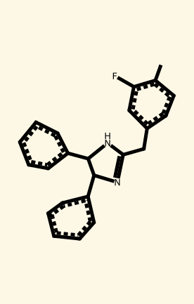 Cc1ccc(CC2=NC(c3ccccc3)C(c3ccccc3)N2)cc1F